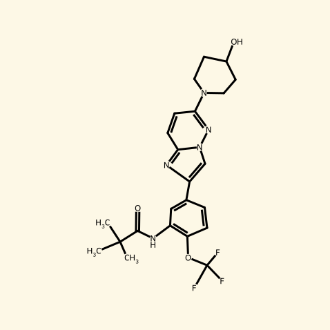 CC(C)(C)C(=O)Nc1cc(-c2cn3nc(N4CCC(O)CC4)ccc3n2)ccc1OC(F)(F)F